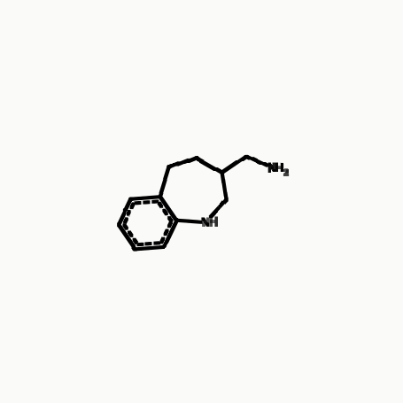 NCC1CCc2ccccc2NC1